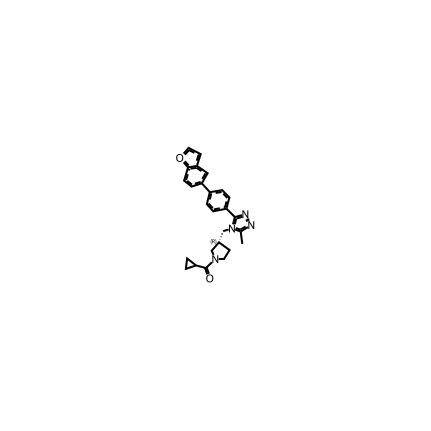 Cc1nnc(-c2ccc(-c3ccc4occc4c3)cc2)n1C[C@@H]1CCN(C(=O)C2CC2)C1